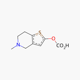 CN1CCc2sc(OC(=O)O)cc2C1